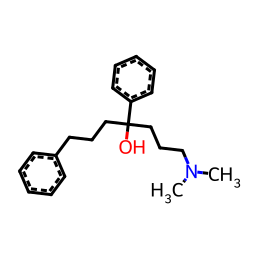 CN(C)CCCC(O)(CCCc1ccccc1)c1ccccc1